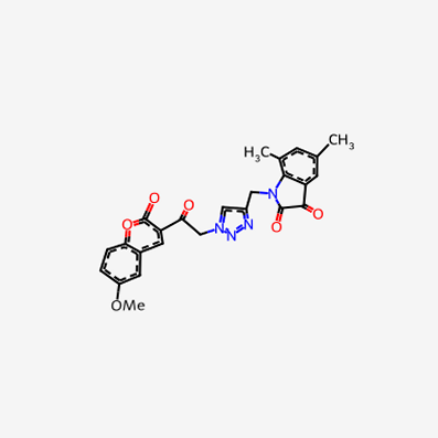 COc1ccc2oc(=O)c(C(=O)Cn3cc(CN4C(=O)C(=O)c5cc(C)cc(C)c54)nn3)cc2c1